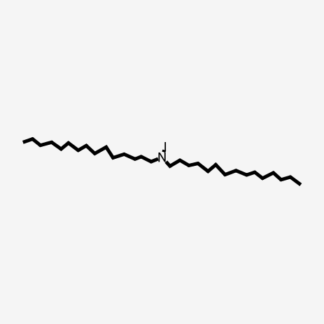 CCCCCCCCCCCCCCCN(I)CCCCCCCCCCCCCCC